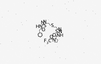 O=C(Cc1ccccc1)Nc1nnc(CCSCCc2nnc(NC(=O)C3CCCN3C(=O)C(F)(F)F)s2)s1